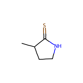 CC1CCNC1=S